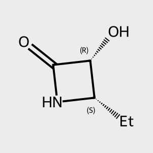 CC[C@@H]1NC(=O)[C@@H]1O